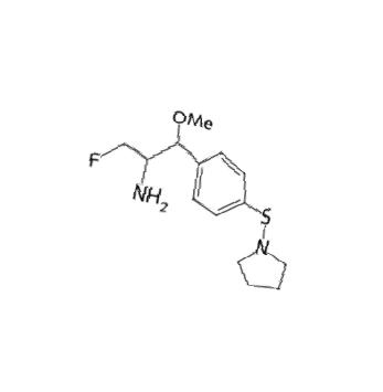 COC(c1ccc(SN2CCCC2)cc1)C(N)CF